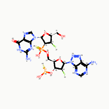 Nc1nc2c(ncn2[C@@H]2O[C@H](CO)[C@@H](F)[C@H]2P(O)(=S)OC[C@H]2O[C@@H](n3nnc4c(N)ncnc43)[C@@H](F)[C@@H]2O[PH](O)=S)c(=O)[nH]1